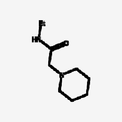 CCNC(=O)CN1CCCCC1